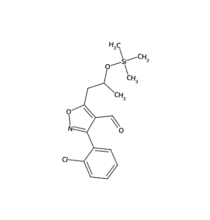 CC(Cc1onc(-c2ccccc2Cl)c1C=O)O[Si](C)(C)C